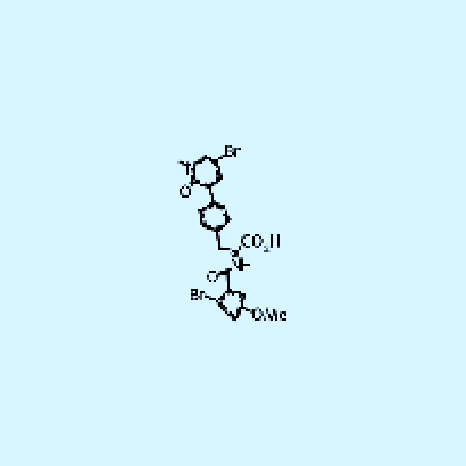 COc1ccc(Br)c(C(=O)N[C@@H](Cc2ccc(-c3cc(Br)cn(C)c3=O)cc2)C(=O)O)c1